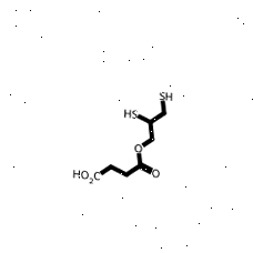 O=C(O)CCC(=O)OCC(S)CS